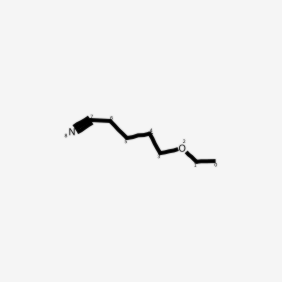 CCOC[CH]CCC#N